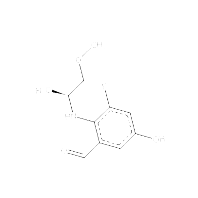 COC[C@H](C)Nc1c(F)cc(O)cc1C=O